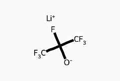 [Li+].[O-]C(F)(C(F)(F)F)C(F)(F)F